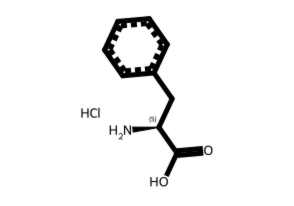 Cl.N[C@@H](Cc1ccccc1)C(=O)O